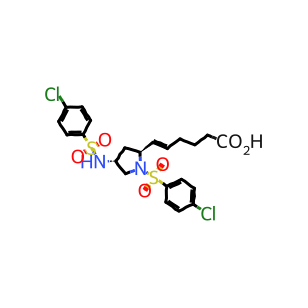 O=C(O)CCC/C=C/[C@@H]1C[C@@H](NS(=O)(=O)c2ccc(Cl)cc2)CN1S(=O)(=O)c1ccc(Cl)cc1